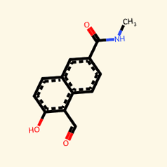 CNC(=O)c1ccc2c(C=O)c(O)ccc2c1